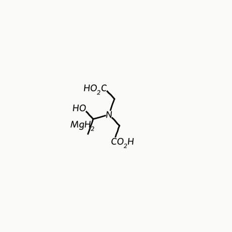 CC(O)N(CC(=O)O)CC(=O)O.[MgH2]